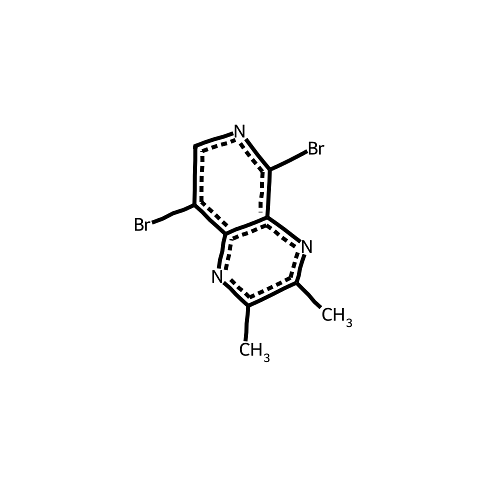 Cc1nc2c(Br)cnc(Br)c2nc1C